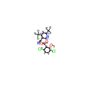 COc1c(Cl)ccc(Cl)c1C(=O)Oc1nc(C(C)(C)C)cc(C(C)(C)C)c1C#N